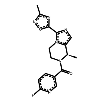 Cc1nsc(-c2ncc3n2CCN(C(=O)c2ccc(F)nc2)[C@@H]3C)n1